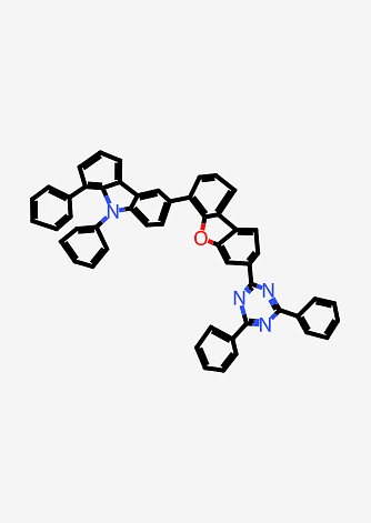 c1ccc(-c2nc(-c3ccccc3)nc(-c3ccc4c(c3)oc3c(-c5ccc6c(c5)c5cccc(-c7ccccc7)c5n6-c5ccccc5)cccc34)n2)cc1